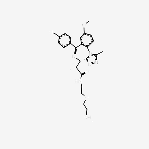 COc1ccc2c(c1)C(c1ccc(Cl)cc1)=N[C@@H]([C@@H](C)C(=O)NCCOCCN)c1nnc(C)n1-2